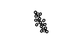 c1ccc(-c2c3c4ccc(N(c5ccccc5)c5cccc6c5oc5ccccc56)c5c6ccccc6n(c3c(-c3ccccc3)c3c6ccc(N(c7ccccc7)c7cccc8c7oc7ccccc78)c7c8ccccc8n(c23)c67)c45)cc1